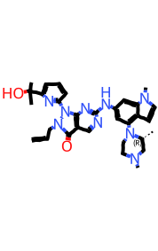 C=CCn1c(=O)c2cnc(Nc3cc(N4CCN(C)C[C@H]4C)c4ccn(C)c4c3)nc2n1-c1cccc(C(C)(C)O)n1